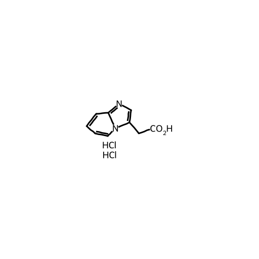 Cl.Cl.O=C(O)Cc1cnc2ccccn12